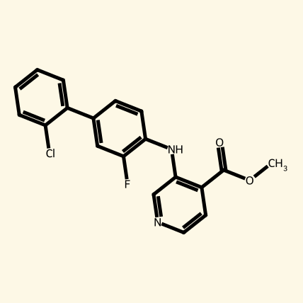 COC(=O)c1ccncc1Nc1ccc(-c2ccccc2Cl)cc1F